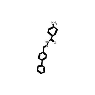 Nc1ccc(C(=O)N/N=C/c2ccc(-c3ccccc3)cc2)cc1